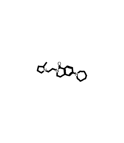 CC1CCCN1CCN1CCc2cc(N3CCCCCC3)ccc2C1=O